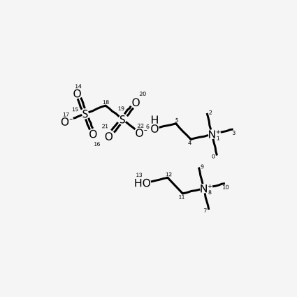 C[N+](C)(C)CCO.C[N+](C)(C)CCO.O=S(=O)([O-])CS(=O)(=O)[O-]